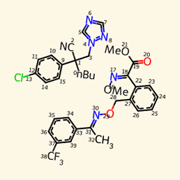 CCCCC(C#N)(Cn1cncn1)c1ccc(Cl)cc1.CO/N=C(/C(=O)OC)c1ccccc1CO/N=C(\C)c1cccc(C(F)(F)F)c1